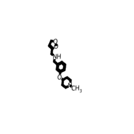 CN1CCC(Oc2cccc(CNCC3=CCOO3)c2)CC1